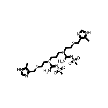 Cc1[nH]cnc1CSCCN(CCCN(CCSCc1nc[nH]c1C)C(N)=NS(C)(=O)=O)C(N)=NS(C)(=O)=O